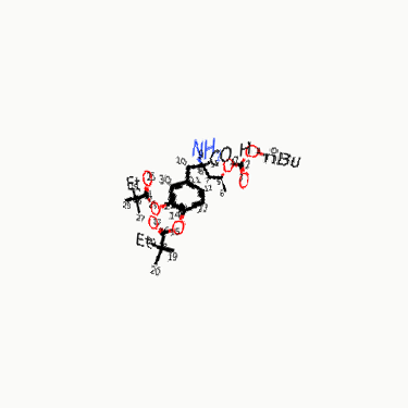 CCCCOC(=O)O[C@@H](C)CC(N)(Cc1ccc(OC(=O)C(C)(C)CC)c(OC(=O)C(C)(C)CC)c1)C(=O)O